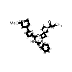 C=CC(=O)N1CC[C@]2(C1)C[C@H](n1c(NC(=O)c3ccc(-c4ccnc(OC)c4)s3)nc3ccccc31)C2